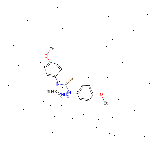 CCCCCCN.CCOc1ccc(NC(=S)Nc2ccc(OCC)cc2)cc1.[Ta]